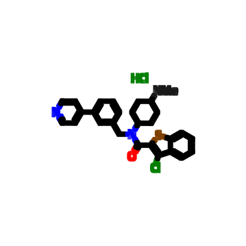 CNC1CCC(N(Cc2cccc(-c3ccncc3)c2)C(=O)c2sc3ccccc3c2Cl)CC1.Cl